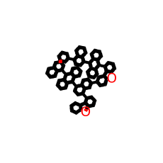 c1ccc(-c2ccc(-c3c4ccccc4c(-c4cccc5oc6ccc(-c7ccc8c(-c9c%10ccccc%10c(-c%10cccc%11ccccc%10%11)c%10ccccc9%10)ccc(-c9cccc%10oc%11ccccc%11c9%10)c8c7)cc6c45)c4ccccc34)c3ccccc23)cc1